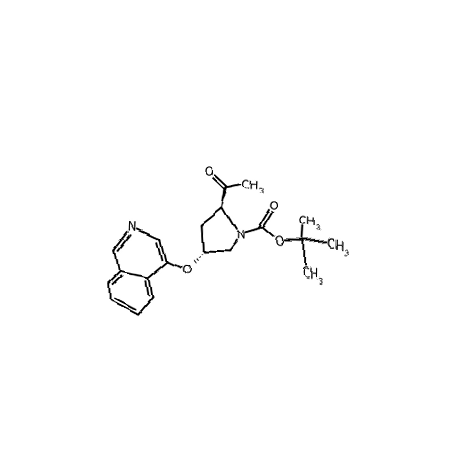 CC(=O)[C@@H]1C[C@@H](Oc2cncc3ccccc23)CN1C(=O)OC(C)(C)C